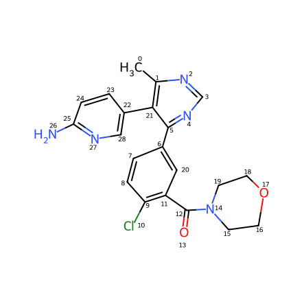 Cc1ncnc(-c2ccc(Cl)c(C(=O)N3CCOCC3)c2)c1-c1ccc(N)nc1